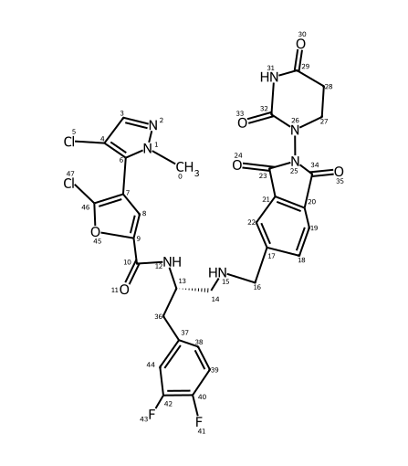 Cn1ncc(Cl)c1-c1cc(C(=O)N[C@H](CNCc2ccc3c(c2)C(=O)N(N2CCC(=O)NC2=O)C3=O)Cc2ccc(F)c(F)c2)oc1Cl